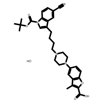 Cc1c(C(=O)O)oc2ccc(N3CCN(CCCCc4cn(C(=O)OC(C)(C)C)c5ccc(C#N)cc45)CC3)cc12.Cl